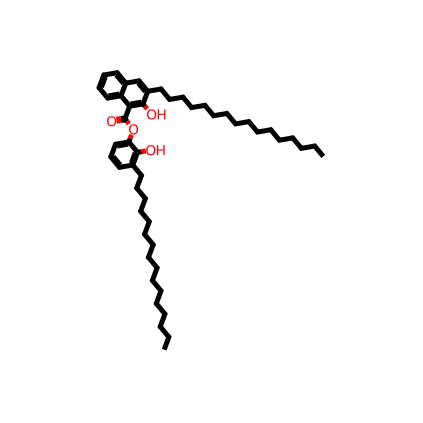 CCCCCCCCCCCCCCCCc1cccc(OC(=O)c2c(O)c(CCCCCCCCCCCCCCCC)cc3ccccc23)c1O